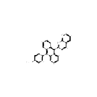 COc1ccc(-c2c3ccccc3c(-c3ccc4cccnc4n3)c3ccccc23)cc1